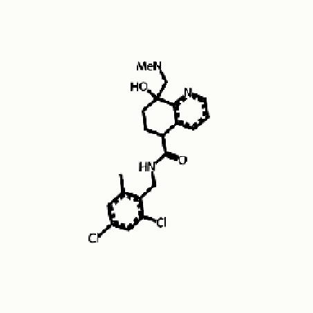 CNCC1(O)CCC(C(=O)NCc2c(C)cc(Cl)cc2Cl)c2cccnc21